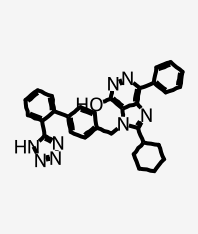 Oc1nnc(-c2ccccc2)c2nc(C3CCCCC3)n(Cc3ccc(-c4ccccc4-c4nnn[nH]4)cc3)c12